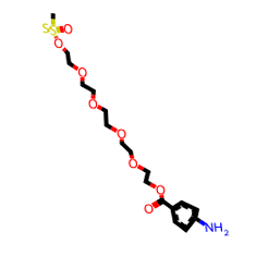 CS(=O)(=S)OCCOCCOCCOCCOCCOC(=O)c1ccc(N)cc1